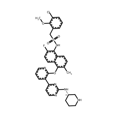 COc1c(Cl)cccc1CS(=O)(=O)Nc1c(F)ccc2c(Oc3ncccc3-c3ccnc(N[C@H]4CCCNC4)n3)c(C)ccc12